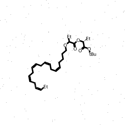 CC/C=C\C/C=C\C/C=C\C/C=C\C/C=C\CCCCOC(CC)C(=O)O[C@H](CC)C(=O)OC(C)(C)C